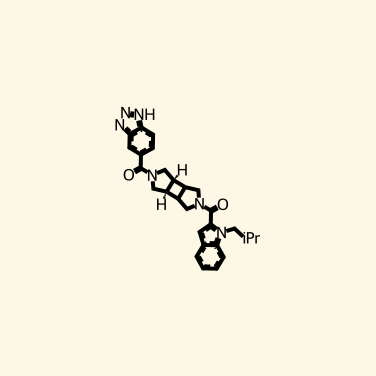 CC(C)Cn1c(C(=O)N2CC3C(C2)[C@@H]2CN(C(=O)c4ccc5[nH]nnc5c4)C[C@H]32)cc2ccccc21